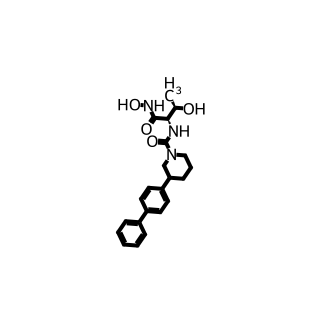 C[C@@H](O)[C@H](NC(=O)N1CCCC(c2ccc(-c3ccccc3)cc2)C1)C(=O)NO